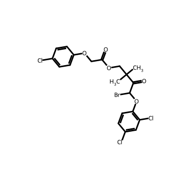 CC(C)(COC(=O)COc1ccc(Cl)cc1)C(=O)C(Br)Oc1ccc(Cl)cc1Cl